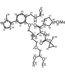 CCOC(COCCCCOc1cc(-c2scnc2C)ccc1CNC(=O)[C@@H]1C[C@@H](OC)CN1C(=O)[C@@H](NC(=O)C1(F)CC1)C(C)(C)C)OCC